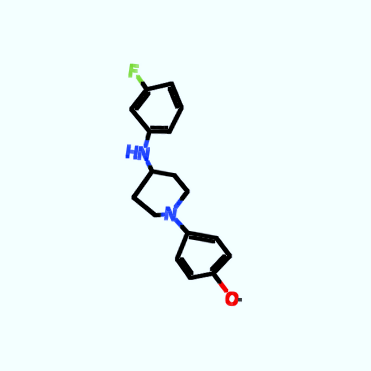 [O]c1ccc(N2CCC(Nc3cccc(F)c3)CC2)cc1